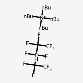 CCCC[N+](CCCC)(CCCC)CCCC.FC(F)(F)C(F)(F)[PH](F)(F)C(F)(F)C(F)(F)F